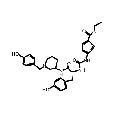 CCOC(=O)c1ccc(NC(=O)N[C@@H](Cc2ccc(O)cc2)C(=O)NC2CCCN(Cc3ccc(O)cc3)C2)cc1